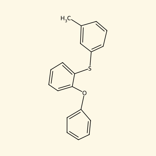 Cc1cccc(Sc2ccccc2Oc2ccccc2)c1